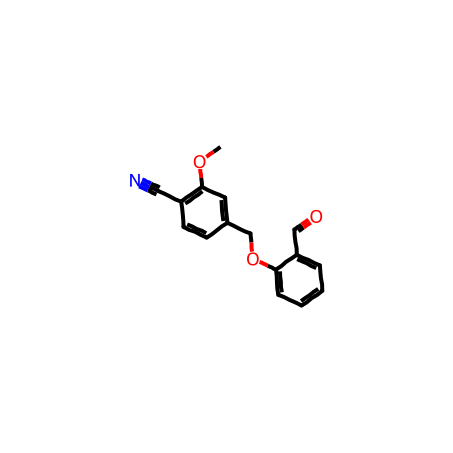 COc1cc(COc2ccccc2C=O)ccc1C#N